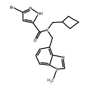 Cn1cnc2c(CN(CC3CCC3)C(=O)c3cc(Br)n[nH]3)cccc21